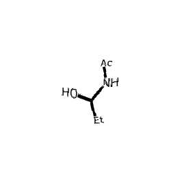 [CH2]CC(O)NC(C)=O